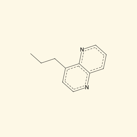 CCCc1ccnc2cccnc12